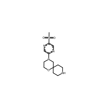 CS(=O)(=O)c1cnc(N2CCOC3(CCNCC3)C2)cn1